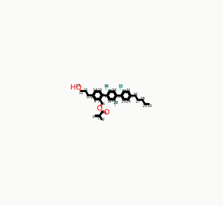 C=C(C)C(=O)OCc1cc(CCCO)ccc1-c1cc(F)c(-c2ccc(CCCCC)cc2F)cc1F